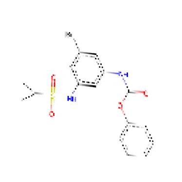 CC(C)(C)c1cc(NC(=O)Oc2ccccc2)cc(NS(=O)(=O)C2CC2)c1